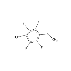 [CH2]c1c(F)c(F)c(SC)c(F)c1F